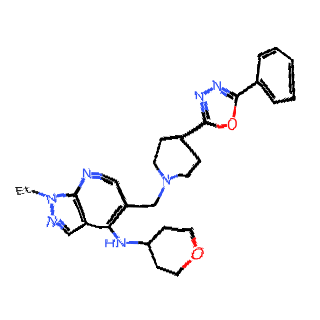 CCn1ncc2c(NC3CCOCC3)c(CN3CCC(c4nnc(-c5ccccc5)o4)CC3)cnc21